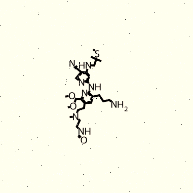 COC(OC)c1nc(Nc2cc(NCC(C)(C)SC)c(C#N)cn2)c(CCCN)cc1CCN(C)CCNC=O